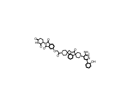 Nc1nnc(-c2ccccc2O)cc1N1CCC(C(=O)N2CC3(CCN(C(=O)COc4ccc5c(c4)C(=O)N(C4CCC(=O)NC4=O)C5=O)CC3)C2)(c2ccccc2)CC1